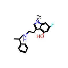 CCn1cc(CCNCC(C)c2ccccc2)c2c(O)cc(F)cc21